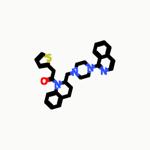 O=C(Cc1cccs1)N1c2ccccc2CCC1CN1CCN(c2nccc3ccccc23)CC1